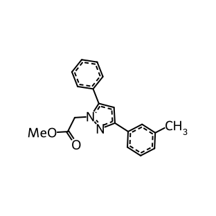 COC(=O)Cn1nc(-c2cccc(C)c2)cc1-c1ccccc1